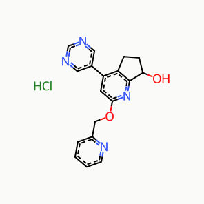 Cl.OC1CCc2c(-c3cncnc3)cc(OCc3ccccn3)nc21